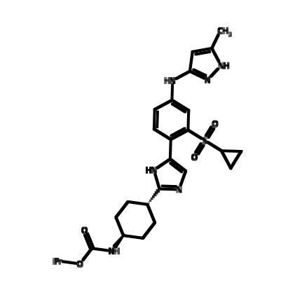 Cc1cc(Nc2ccc(-c3cnc([C@H]4CC[C@H](NC(=O)OC(C)C)CC4)[nH]3)c(S(=O)(=O)C3CC3)c2)n[nH]1